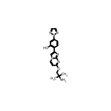 CC(C)(N)COc1ccn2cc(-c3ccc(-n4nccn4)cc3O)nc2n1